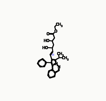 CCOC(=O)CC(O)CC(O)/C=C/c1c(-c2ccccc2)c2c3ccccc3cnn2c1C(C)C